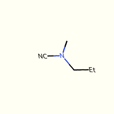 CCCN(C)C#N